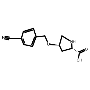 N#Cc1ccc(CO[C@H]2CN[C@H](C(=O)O)C2)cc1